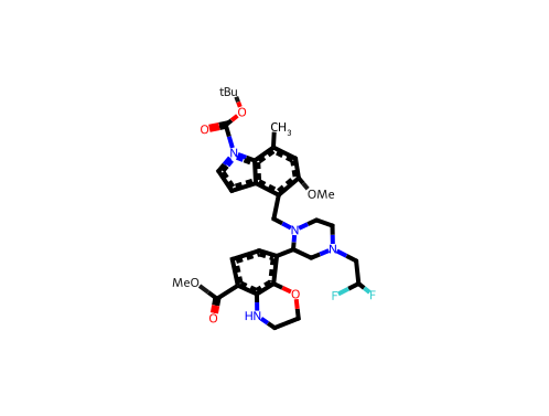 COC(=O)c1ccc(C2CN(CC(F)F)CCN2Cc2c(OC)cc(C)c3c2ccn3C(=O)OC(C)(C)C)c2c1NCCO2